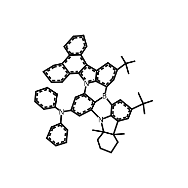 CC(C)(C)c1cc2c3c(c1)C1(C)CCCCC1(C)N3c1cc(N(c3ccccc3)c3ccccc3)cc3c1B2c1cc(C(C)(C)C)cc2c4c5ccccc5c5ccccc5c4n-3c12